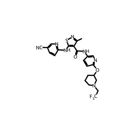 Cc1nsc(Nc2ccc(C#N)cn2)c1C(=O)Nc1ccc(OC2CCCN(CC(F)(F)F)C2)nc1